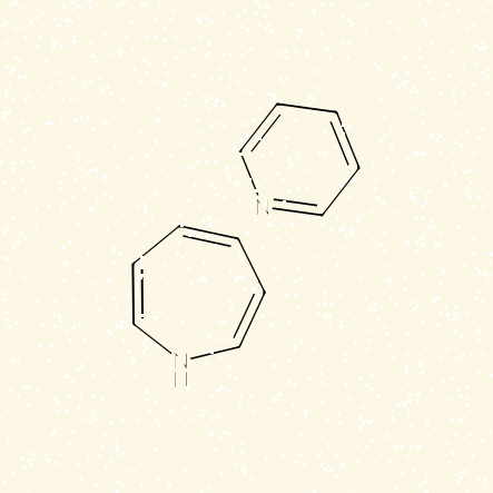 C1=CC=CNC=C1.c1ccncc1